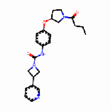 CCCC(=O)N1CC[C@H](Oc2ccc(NC(=O)N3CC(c4cccnc4)C3)cc2)C1